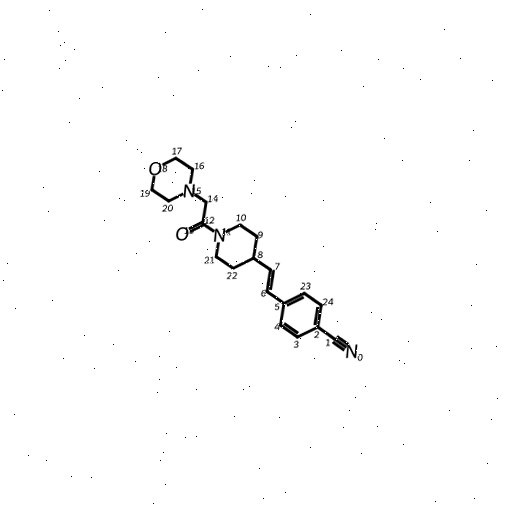 N#Cc1ccc(/C=C/C2CCN(C(=O)CN3CCOCC3)CC2)cc1